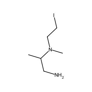 CC(CN)N(C)CCI